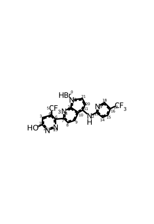 Br.Oc1cc(C(F)(F)F)c(-c2ccc3c(Nc4ccc(C(F)(F)F)cn4)ccnc3n2)nn1